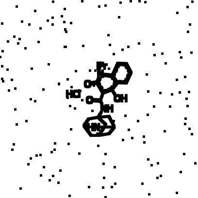 CC(C)n1c(=O)c(C(=O)NC23CC4CC(C2)NC(C4)C3)c(O)c2ccccc21.Cl